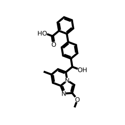 COc1cn2c(C(O)c3ccc(-c4ccccc4C(=O)O)cc3)cc(C)cc2n1